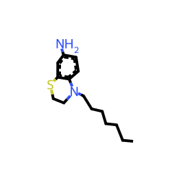 CCCCCCCN1CCSc2cc(N)ccc21